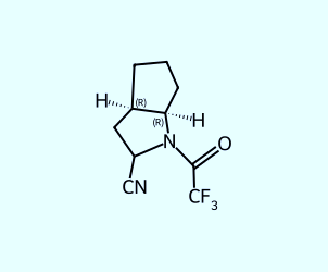 N#CC1C[C@H]2CCC[C@H]2N1C(=O)C(F)(F)F